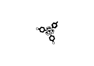 Cc1ccc(S(=O)(=O)C(S(=O)(=O)C2CCC(=O)CC2)S(=O)(=O)C2CCC(=O)CC2)cc1